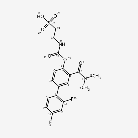 CN(C)C(=O)c1cc(-c2ccc(F)cc2F)ccc1OC(=O)NCCS(=O)(=O)O